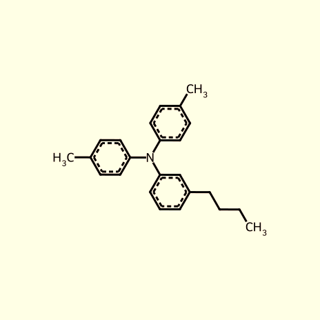 CCCCc1cccc(N(c2ccc(C)cc2)c2ccc(C)cc2)c1